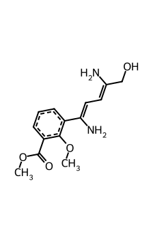 COC(=O)c1cccc(/C(N)=C/C=C(\N)CO)c1OC